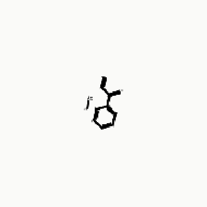 C=CC(=C)c1ccccc1.CC(C)=O